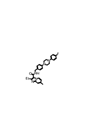 CCc1nc2cc(C)ccn2c1C(=O)NCc1ccc(N2CCN(c3ccc(F)cc3)CC2)cc1